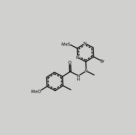 COc1ccc(C(=O)NN(C)c2nc(SC)ncc2Br)c(C)c1